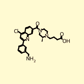 C[C@H]1CN(C(=O)c2ccc3c(Cl)cc(-c4cccc(CN)c4)nc3c2)CCN1CCCC(=O)O